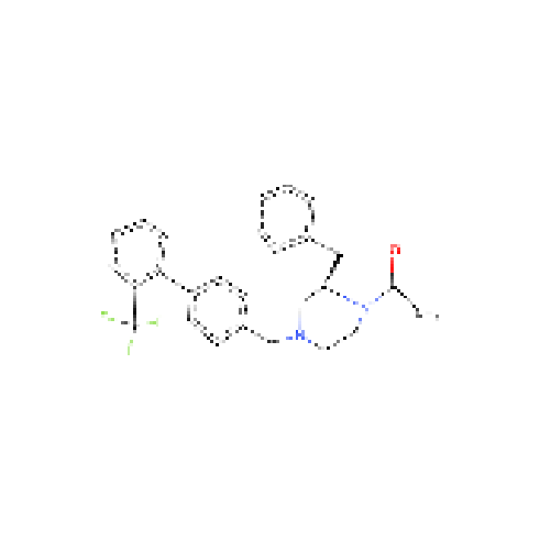 CC(=O)N1CCN(Cc2ccc(-c3ccccc3C(F)(F)F)cc2)C[C@H]1Cc1ccccc1